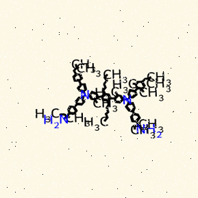 CCCCCCc1cc(-c2ccc(N(c3ccc(-c4ccc(C(C)(N)CC)cc4)cc3)c3ccc(-c4c(C)cc(CC(C)C)cc4C)cc3)cc2C)c(CCCCCC)cc1-c1ccc(N(c2ccc(-c3ccc(CC(C)C)cc3)cc2)c2ccc(-c3ccc(C(C)(N)CCC)cc3)cc2)cc1C